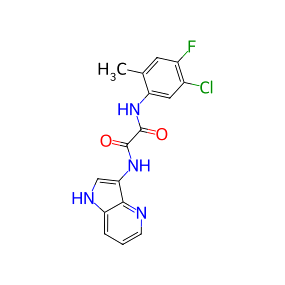 Cc1cc(F)c(Cl)cc1NC(=O)C(=O)Nc1c[nH]c2cccnc12